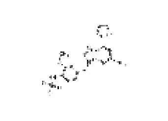 COc1cc(Cn2nnc3c(-c4cccs4)nc(N)nc32)ccc1NS(=O)(=O)O